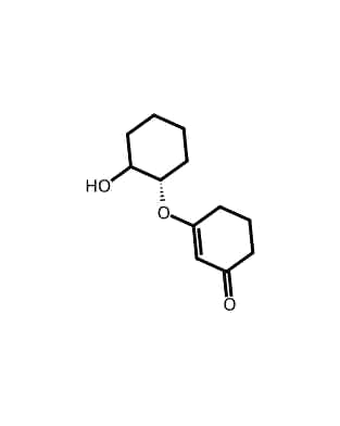 O=C1C=C(O[C@H]2CCCCC2O)CCC1